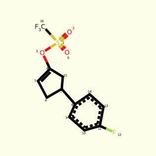 O=S(=O)(OC1=CCC(c2ccc(F)cc2)C1)C(F)(F)F